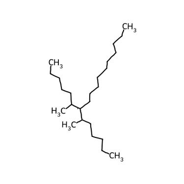 CCCCCCCCCC[C](C(C)CCCCC)C(C)CCCCC